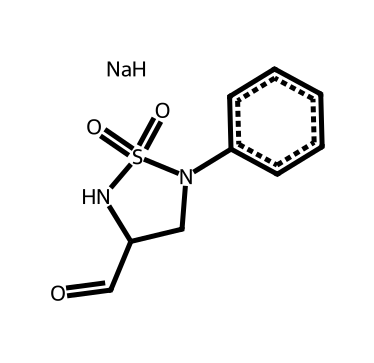 O=CC1CN(c2ccccc2)S(=O)(=O)N1.[NaH]